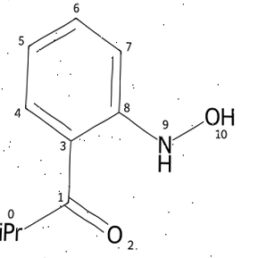 CC(C)C(=O)c1ccccc1NO